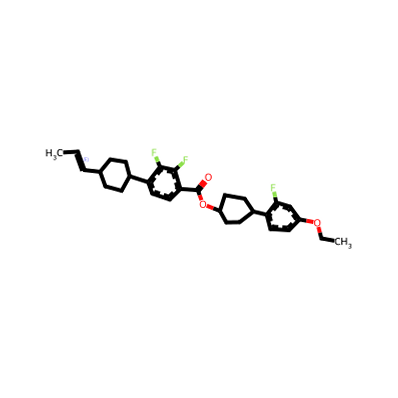 C/C=C/C1CCC(c2ccc(C(=O)OC3CCC(c4ccc(OCC)cc4F)CC3)c(F)c2F)CC1